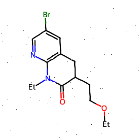 CCOCCC1Cc2cc(Br)cnc2N(CC)C1=O